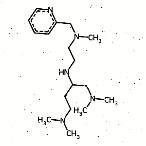 CN(C)CCC(CN(C)C)NCCN(C)Cc1ccccn1